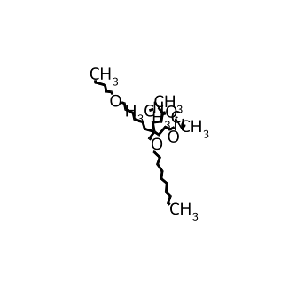 CCCCCCCCCCOCC(CCCCCCOCCCCC)(CCC(=O)N(C)C)CCC(=O)N(C)C